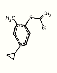 C=C(Br)Sc1ccc(C2CC2)cc1C